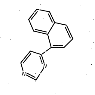 [c]1nccc(-c2cccc3ccccc23)n1